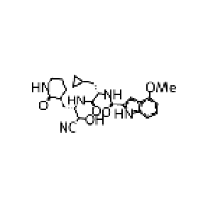 COc1cccc2[nH]c(C(=O)N[C@@H](CC3CC3)C(=O)N[C@@H](C[C@@H]3CCCNC3=O)C(O)C#N)cc12